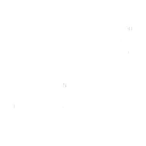 CC1=[N+](CCCCCC(=O)O)c2ccc(I)cc2C1(C)C